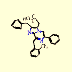 O=C(O)Cc1c(Cc2ccccc2)nc2c(Cc3ccccc3C(F)(F)F)nc(-c3ccccc3)cn12